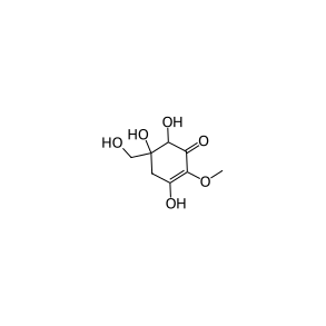 COC1=C(O)CC(O)(CO)C(O)C1=O